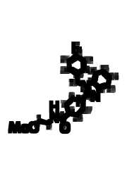 COCCNC(=O)C1CCN(c2nc3ccccc3n2Cc2ccc(F)cc2)CC1